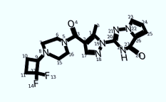 Cc1c(C(=O)N2CCN(C3CCC3(F)F)CC2)cnn1-c1nn2cccc2c(=O)[nH]1